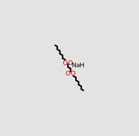 CCCCCCCCOC(=O)CCC(=O)OCCCCCCCC.[NaH]